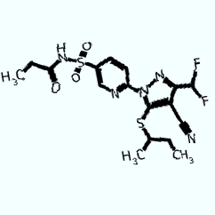 CCC(=O)NS(=O)(=O)c1ccc(-n2nc(C(F)F)c(C#N)c2SC(C)CC)nc1